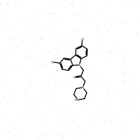 O=C(CN1CCNCC1)Cn1c2ccc(Cl)cc2c2cc(Cl)ccc21